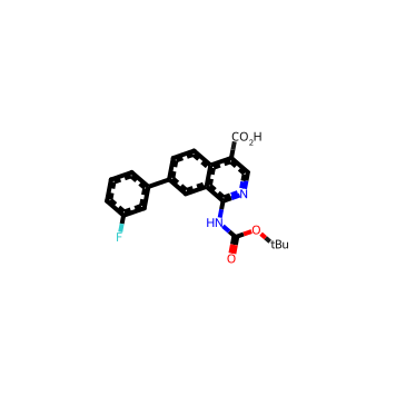 CC(C)(C)OC(=O)Nc1ncc(C(=O)O)c2ccc(-c3cccc(F)c3)cc12